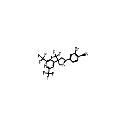 N#Cc1ccc(C2=NCC(c3cc(C(F)(F)F)nc(C(F)(F)F)c3)(C(F)(F)F)C2)cc1Br